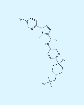 Cc1c(C(=O)Nc2ccc(C3(C#N)CCN(CC(C)(C)O)CC3)nc2)cnn1-c1ccc(C(F)(F)F)cn1